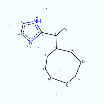 CC(c1ncc[nH]1)C1CCCCCCC1